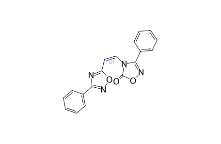 O=c1onc(-c2ccccc2)n1/C=C\c1nc(-c2ccccc2)no1